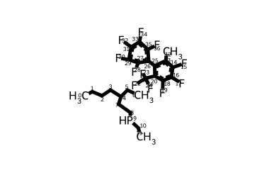 CCCCC(CC)CCPCC.Cc1c(F)c(F)c(F)c(C(F)(F)F)c1-c1c(F)c(F)c(F)c(F)c1F